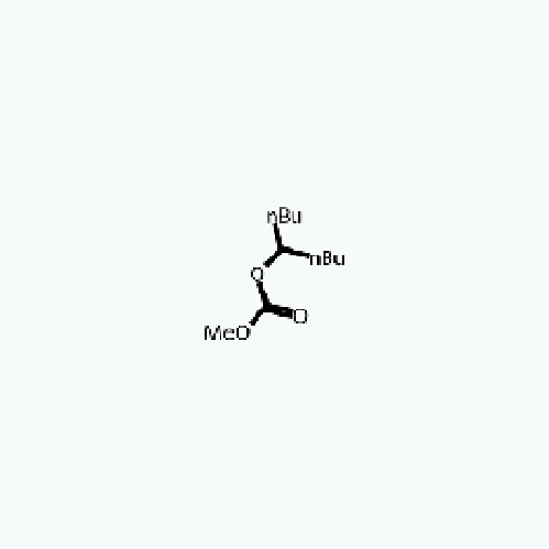 [CH2]OC(=O)OC(CCCC)CCCC